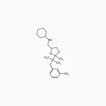 Cc1cccc(CC(C)(C)C2(C)OCC(CNC3CCCCC3)O2)c1